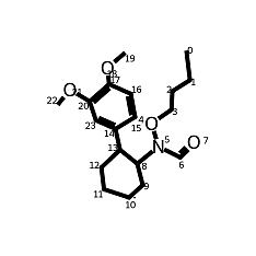 CCCCON(C=O)C1C[CH]CCC1c1ccc(OC)c(OC)c1